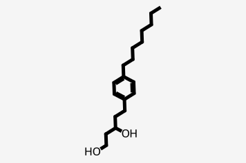 CCCCCCCCc1ccc(CCC(O)CCO)cc1